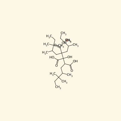 CCC(C)(C)C(C)CC(C(=O)O)C(O)(C(=O)O)C(CC(C)C(C)(C)CC)(CC(C)C(C)(C)CC)C(=O)O